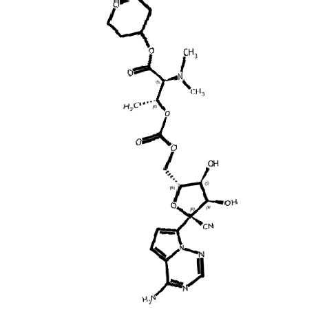 C[C@@H](OC(=O)OC[C@H]1O[C@@](C#N)(c2ccc3c(N)ncnn23)[C@H](O)[C@@H]1O)[C@@H](C(=O)OC1CCOCC1)N(C)C